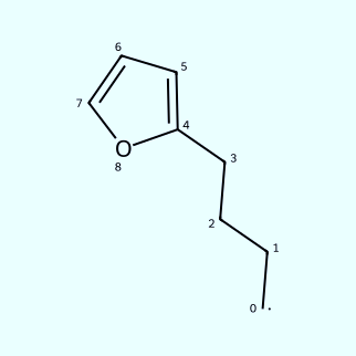 [CH2]CCCc1ccco1